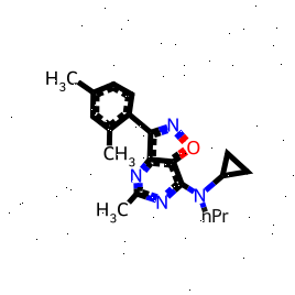 CCCN(c1nc(C)nc2c(-c3ccc(C)cc3C)noc12)C1CC1